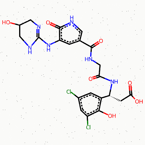 O=C(O)C[C@@H](NC(=O)CNC(=O)c1c[nH]c(=O)c(NC2=NCC(O)CN2)c1)c1cc(Cl)cc(Cl)c1O